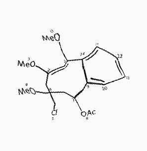 COC1=C(OC)C(Cl)(OC)C(OC(C)=O)c2ccccc21